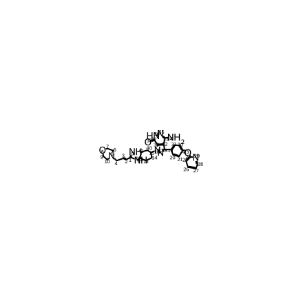 N=C(/C=C/CN1CCOCC1)NC1CCC(n2nc(-c3ccc(Oc4ccccn4)cc3)c3c(N)n[nH]c(=O)c32)CC1